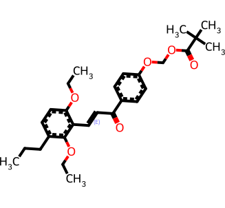 CCCc1ccc(OCC)c(/C=C/C(=O)c2ccc(OCOC(=O)C(C)(C)C)cc2)c1OCC